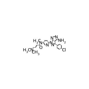 CN(C)CC=CC(=O)N(C)c1ccc(-n2nc(-c3ccc(Cl)cc3)c3c(N)ncnc32)nc1